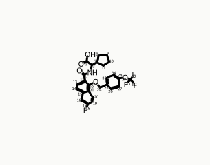 O=C(NC(C(=O)O)C1CCCC1)c1ccc2cc(F)ccc2c1OCc1ccc(OC(F)(F)F)cc1